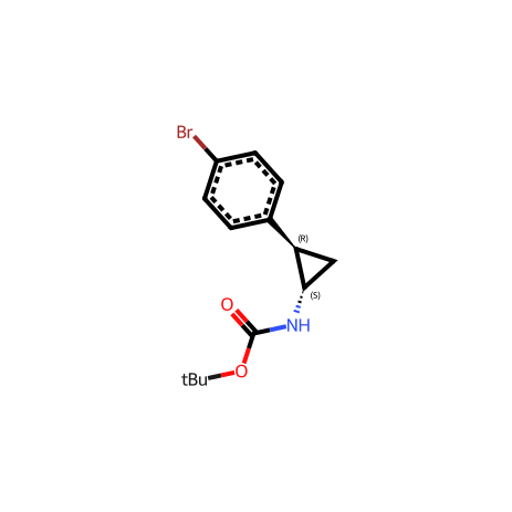 CC(C)(C)OC(=O)N[C@H]1C[C@@H]1c1ccc(Br)cc1